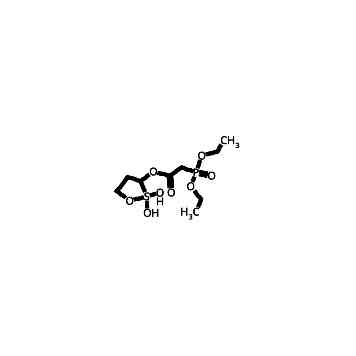 CCOP(=O)(CC(=O)OC1CCOS1(O)O)OCC